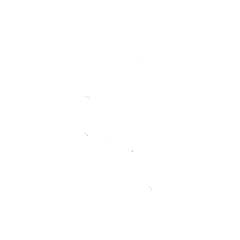 CN(C)CCOc1ccc(Nc2ncc3cc(C#N)c(=O)n(C4CCCC4)c3n2)cn1